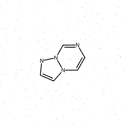 C1=CN2C=CN=CN2[N]1